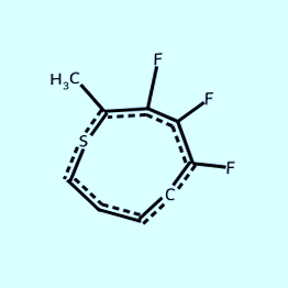 Cc1sccccc(F)c(F)c1F